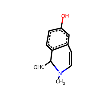 CN1C=Cc2cc(O)ccc2C1C=O